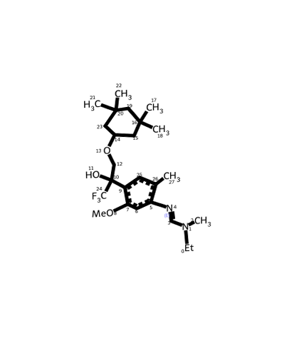 CCN(C)/C=N/c1cc(OC)c(C(O)(COC2CC(C)(C)CC(C)(C)C2)C(F)(F)F)cc1C